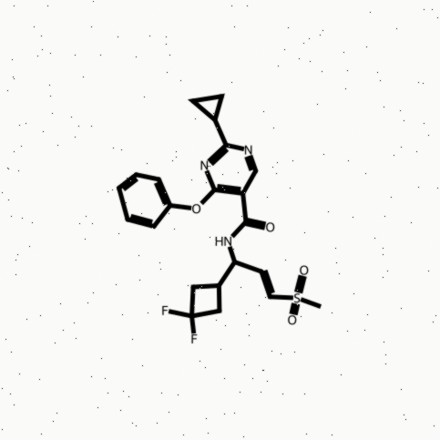 CS(=O)(=O)C=CC(NC(=O)c1cnc(C2CC2)nc1Oc1ccccc1)C1CC(F)(F)C1